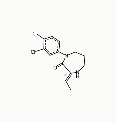 C/C=C1\NCCCN(c2ccc(Cl)c(Cl)c2)C1=O